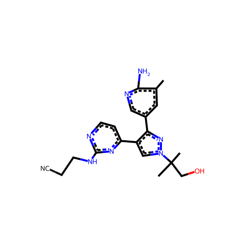 Cc1cc(-c2nn(C(C)(C)CO)cc2-c2ccnc(NCCC#N)n2)cnc1N